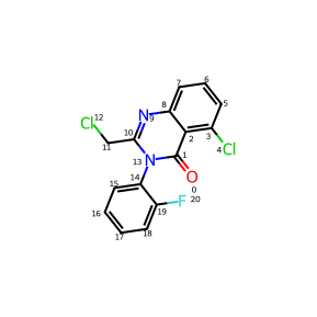 O=c1c2c(Cl)cccc2nc(CCl)n1-c1ccccc1F